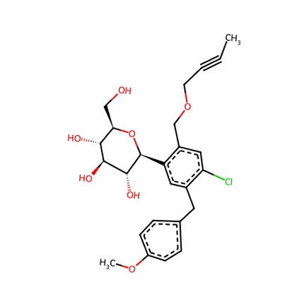 CC#CCOCc1cc(Cl)c(Cc2ccc(OC)cc2)cc1[C@@H]1O[C@H](CO)[C@@H](O)[C@H](O)[C@H]1O